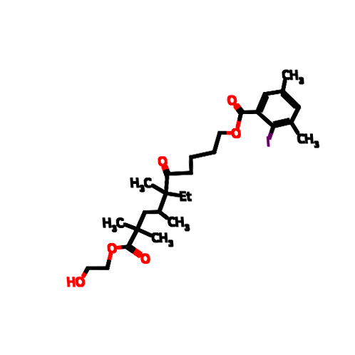 CCC(C)(C(=O)CCCCOC(=O)c1cc(C)cc(C)c1I)C(C)CC(C)(C)C(=O)OCCO